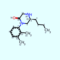 CCCC[C@H]1CN(c2cccc(C)c2C)C(=O)CN1